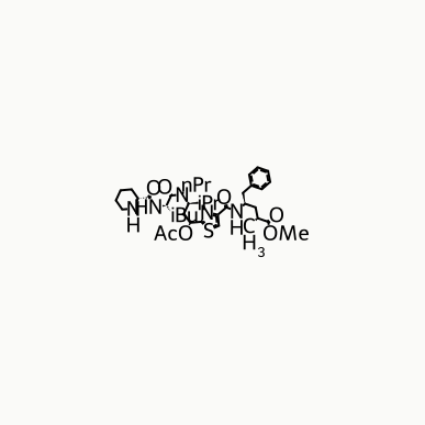 CCCN(C(=O)[C@@H](NC(=O)[C@H]1CCCCN1)[C@@H](C)CC)[C@H](C[C@@H](OC(C)=O)c1nc(C(=O)N[C@@H](Cc2ccccc2)C[C@H](C)C(=O)OC)cs1)C(C)C